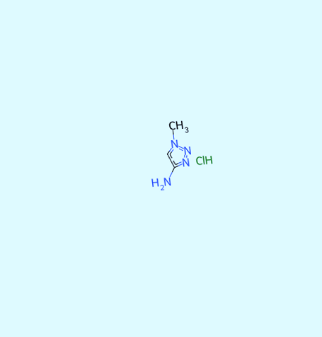 Cl.Cn1cc(N)nn1